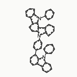 c1ccc(-n2c3ccccc3c3cccc(-c4ccc(-n5c6ccccc6c6c5ccc5c7ccccc7n(-c7ccccc7)c56)cc4)c32)cc1